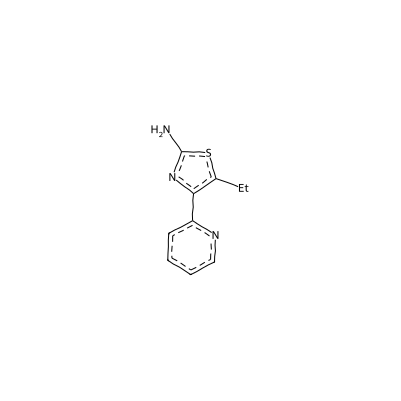 CCc1sc(N)nc1-c1ccccn1